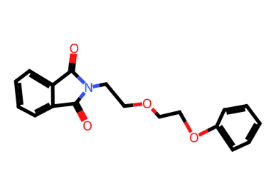 O=C1c2ccccc2C(=O)N1CCOCCOc1ccccc1